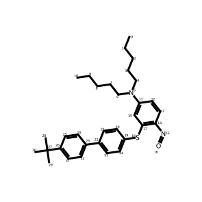 CCCCCN(CCCCC)c1ccc(N=O)c(Sc2ccc(-c3ccc(C(C)(C)C)cc3)cc2)c1